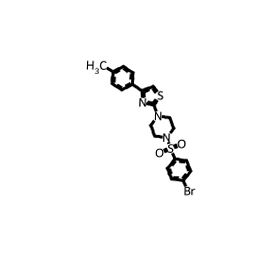 Cc1ccc(-c2csc(N3CCN(S(=O)(=O)c4ccc(Br)cc4)CC3)n2)cc1